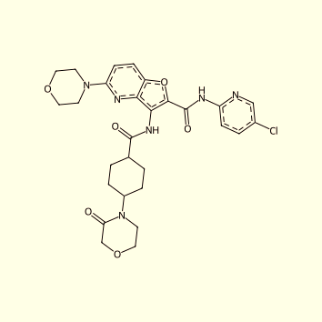 O=C(Nc1ccc(Cl)cn1)c1oc2ccc(N3CCOCC3)nc2c1NC(=O)C1CCC(N2CCOCC2=O)CC1